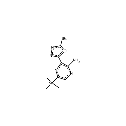 CC(C)(C)c1nnc(-c2n[c]([Sn]([CH3])([CH3])[CH3])cnc2N)o1